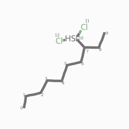 CCCCCCCC(CC)[SiH](Cl)Cl